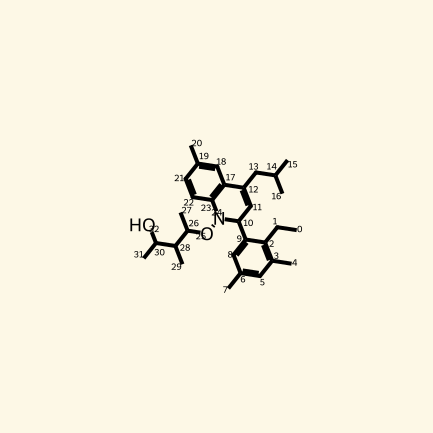 CCc1c(C)cc(C)cc1C1C=C(CC(C)C)c2cc(C)ccc2N1OC(C)C(C)C(C)O